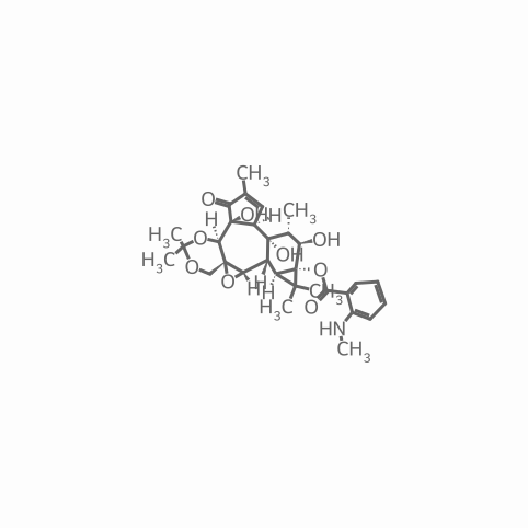 CNc1ccccc1C(=O)O[C@@]12[C@H](O)[C@@H](C)[C@@]3(O)[C@H]([C@@H]1C2(C)C)[C@@H]1O[C@@]12COC(C)(C)O[C@H]2[C@]1(O)C(=O)C(C)=C[C@H]13